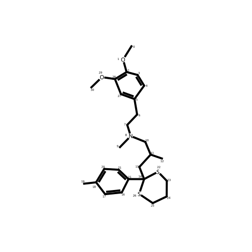 COc1ccc(CCN(C)CC(C)CC2(c3ccc(C)cc3)SCCCS2)cc1OC